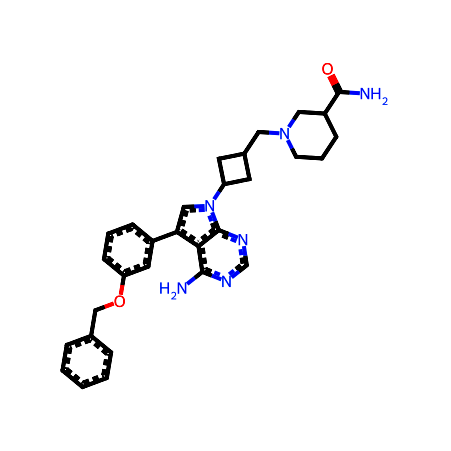 NC(=O)C1CCCN(CC2CC(n3cc(-c4cccc(OCc5ccccc5)c4)c4c(N)ncnc43)C2)C1